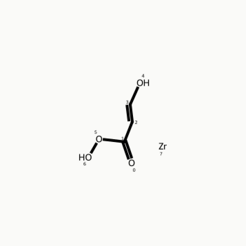 O=C(C=CO)OO.[Zr]